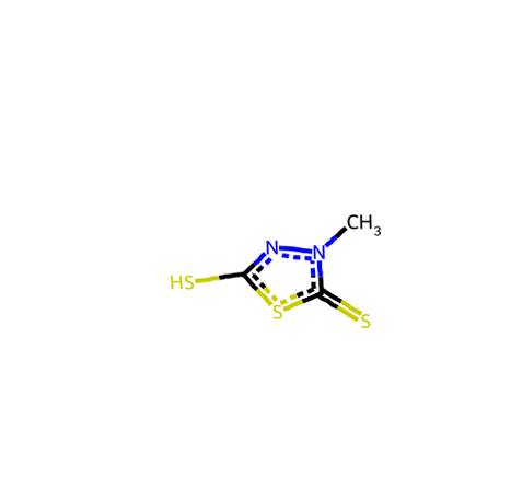 Cn1nc(S)sc1=S